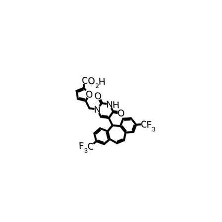 O=C(O)c1ccc(Cn2cc(C3c4ccc(C(F)(F)F)cc4C=Cc4cc(C(F)(F)F)ccc43)c(=O)[nH]c2=O)o1